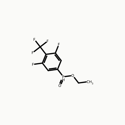 CCO[PH](=O)c1cc(F)c(C(F)(F)F)c(F)c1